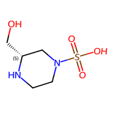 O=S(=O)(O)N1CCN[C@H](CO)C1